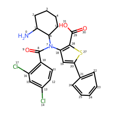 NC1CCCCC1N(C(=O)c1ccc(Cl)cc1Cl)c1cc(-c2ccccc2)sc1C(=O)O